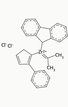 C[C](C)=[Zr+2]([C]1=C(c2ccccc2)C=CC1)[CH]1c2ccccc2-c2ccccc21.[Cl-].[Cl-]